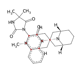 C[C@@H]1C[C@@H]2C[C@H](C1)C[C@@H](N1[C@@H]3CCC[C@H]1C[C@@H](n1c(=O)c(N4C(=O)NC(C)(C)C4=O)nc4ccccc41)C3)C2